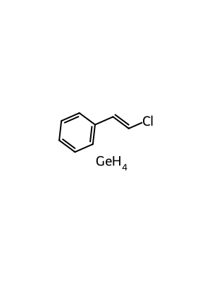 ClC=Cc1ccccc1.[GeH4]